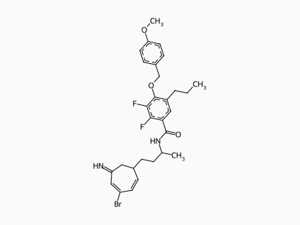 CCCc1cc(C(=O)NC(C)CCC2C=CC(Br)=CC(=N)C2)c(F)c(F)c1OCc1ccc(OC)cc1